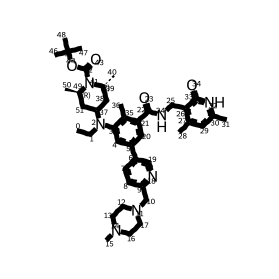 CCN(c1cc(-c2ccc(CN3CCN(C)CC3)nc2)cc(C(=O)NCc2c(C)cc(C)[nH]c2=O)c1C)C1C[C@@H](C)N(C(=O)OC(C)(C)C)[C@H](C)C1